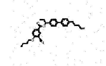 CCCCCc1ccc(-c2ccc(C(CC)OC(=O)c3ccc(OCCCC)c(C#N)c3)cc2)cc1